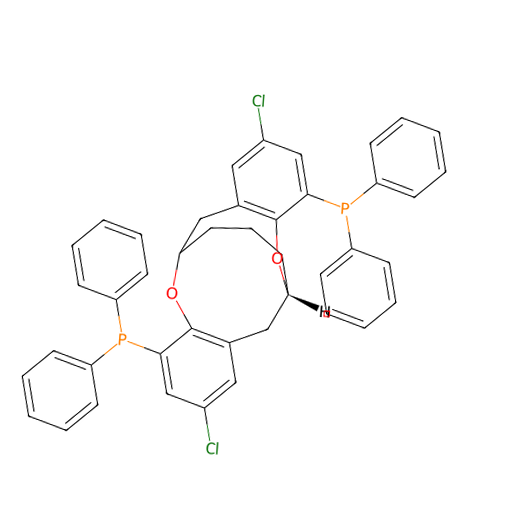 Clc1cc2c(c(P(c3ccccc3)c3ccccc3)c1)OC1CCC[C@H](C2)Oc2c(cc(Cl)cc2P(c2ccccc2)c2ccccc2)C1